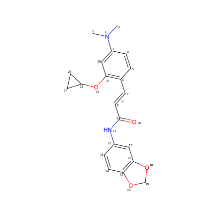 CN(C)c1ccc(/C=C/C(=O)Nc2ccc3c(c2)OCO3)c(OC2CC2)c1